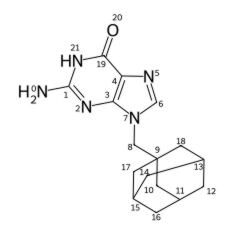 Nc1nc2c(ncn2CC23CC4CC(CC(C4)C2)C3)c(=O)[nH]1